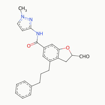 Cn1ccc(NC(=O)c2cc(CCCc3ccccc3)c3c(c2)OC(C=O)C3)n1